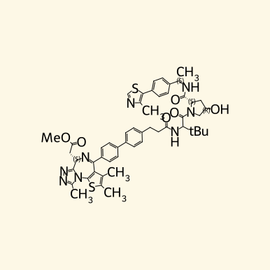 COC(=O)C[C@@H]1N=C(c2ccc(-c3ccc(CCC(=O)NC(C(=O)N4C[C@H](O)C[C@H]4C(=O)N[C@@H](C)c4ccc(-c5scnc5C)cc4)C(C)(C)C)cc3)cc2)c2c(sc(C)c2C)-n2c(C)nnc21